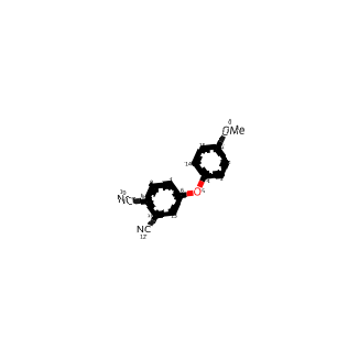 COc1ccc(Oc2ccc(C#N)c(C#N)c2)cc1